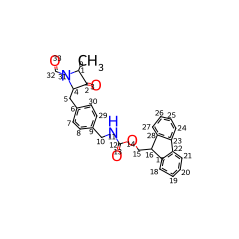 CC1C(=O)C(Cc2ccc(CNC(=O)OCC3c4ccccc4-c4ccccc43)cc2)N1C=O